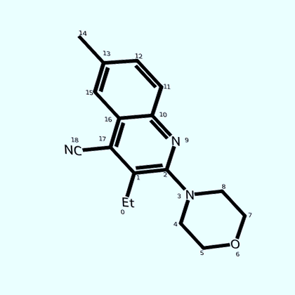 CCc1c(N2CCOCC2)nc2ccc(C)cc2c1C#N